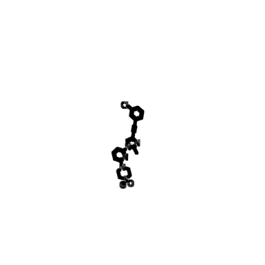 Cc1nc(C#Cc2cccc(Cl)c2)cn1-c1cccc(N2CCS(=O)(=O)CC2)n1